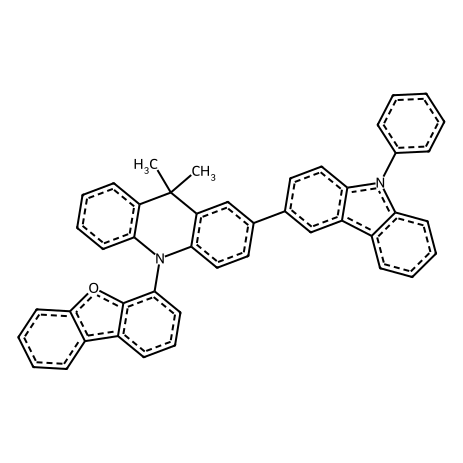 CC1(C)c2ccccc2N(c2cccc3c2oc2ccccc23)c2ccc(-c3ccc4c(c3)c3ccccc3n4-c3ccccc3)cc21